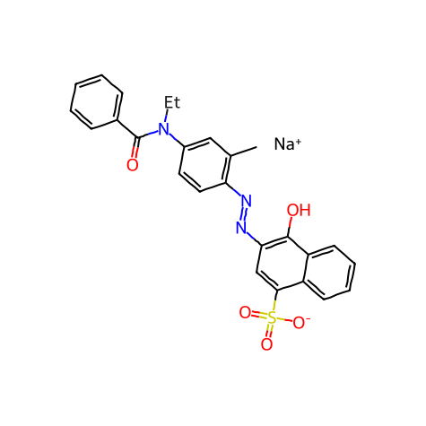 CCN(C(=O)c1ccccc1)c1ccc(N=Nc2cc(S(=O)(=O)[O-])c3ccccc3c2O)c(C)c1.[Na+]